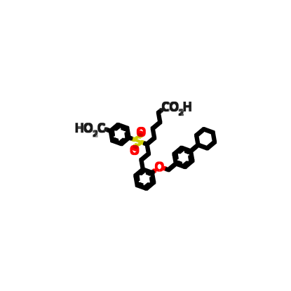 O=C(O)CCCCC(CCc1ccccc1OCc1ccc(C2CCCCC2)cc1)S(=O)(=O)c1ccc(C(=O)O)cc1